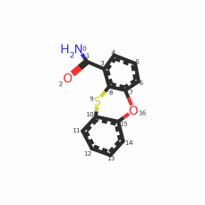 NC(=O)c1cccc2c1Sc1ccccc1O2